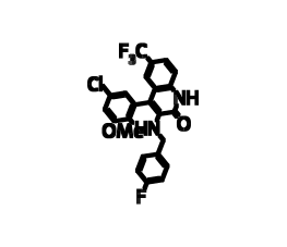 COc1ccc(Cl)cc1-c1c(NCc2ccc(F)cc2)c(=O)[nH]c2ccc(C(F)(F)F)cc12